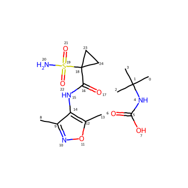 CC(C)(C)NC(=O)O.Cc1noc(C)c1NC(=O)C1(S(N)(=O)=O)CC1